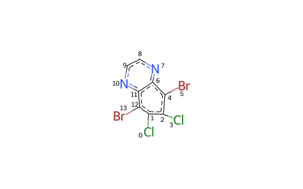 Clc1c(Cl)c(Br)c2nccnc2c1Br